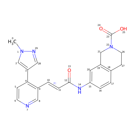 Cn1cc(-c2ccncc2/C=C/C(=O)Nc2ccc3c(c2)CN(C(=O)O)CC3)cn1